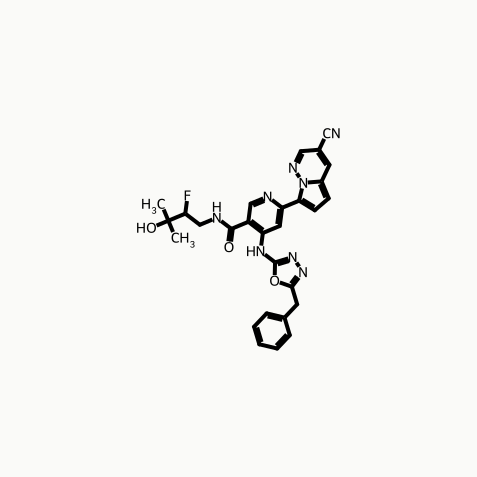 CC(C)(O)C(F)CNC(=O)c1cnc(-c2ccc3cc(C#N)cnn23)cc1Nc1nnc(Cc2ccccc2)o1